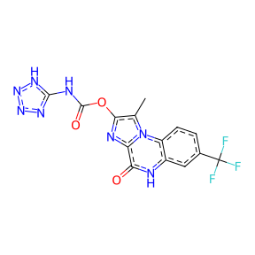 Cc1c(OC(=O)Nc2nnn[nH]2)nc2c(=O)[nH]c3cc(C(F)(F)F)ccc3n12